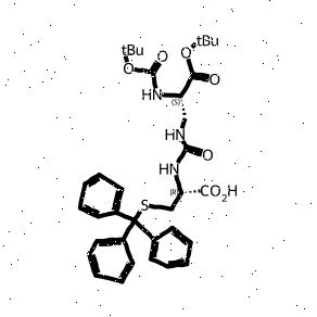 CC(C)(C)OC(=O)N[C@@H](CNC(=O)N[C@@H](CSC(c1ccccc1)(c1ccccc1)c1ccccc1)C(=O)O)C(=O)OC(C)(C)C